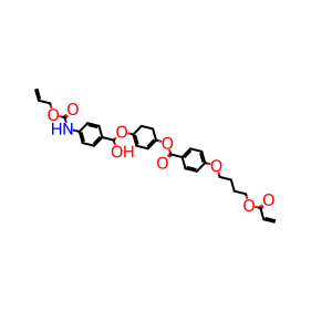 C=CCOC(=O)Nc1ccc(C(O)OC2=CC=C(OC(=O)c3ccc(OCCCCOC(=O)C=C)cc3)CC2)cc1